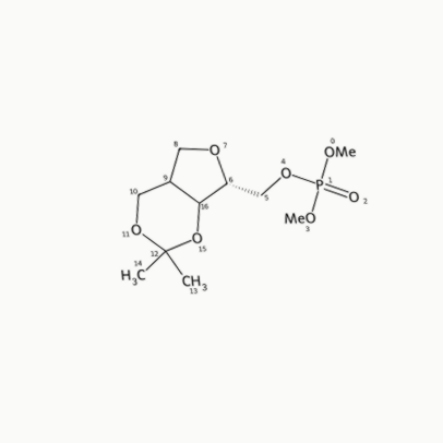 COP(=O)(OC)OC[C@H]1OCC2COC(C)(C)OC21